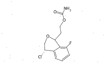 NC(=O)OCCC1OC[C@@H](Cl)c2cccc(F)c21